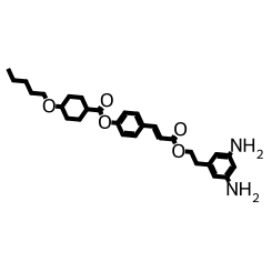 CCCCCOC1CCC(C(=O)Oc2ccc(/C=C/C(=O)OCCc3cc(N)cc(N)c3)cc2)CC1